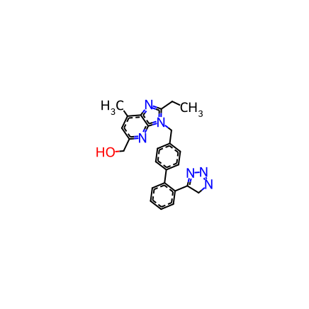 CCc1nc2c(C)cc(CO)nc2n1Cc1ccc(-c2ccccc2C2=NN=NC2)cc1